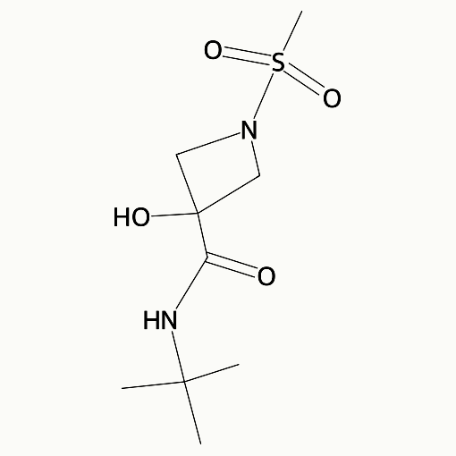 CC(C)(C)NC(=O)C1(O)CN(S(C)(=O)=O)C1